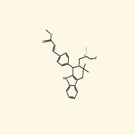 COC(=O)/C=C/c1ccc(C2c3[nH]c4ccccc4c3CC(C)(C)N2C[C@H](C)CF)cc1